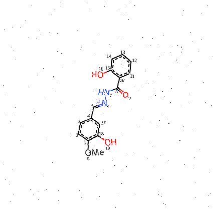 COc1ccc(/C=N/NC(=O)c2ccccc2O)cc1O